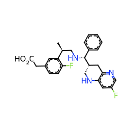 C[C@@H](CN[C@H](c1ccccc1)[C@H]1CNc2cc(F)cnc2C1)c1cc(CC(=O)O)ccc1F